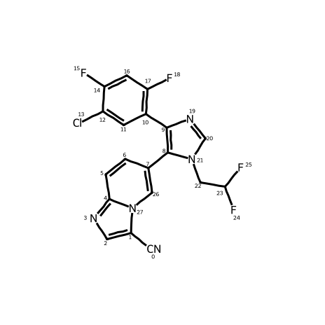 N#Cc1cnc2ccc(-c3c(-c4cc(Cl)c(F)cc4F)ncn3CC(F)F)cn12